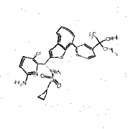 CC(O)(c1ccnc(-c2cccc3cc([C@H](NS(=O)(=O)C4CC4)c4nc(N)ccc4Cl)sc23)c1)C(F)(F)F